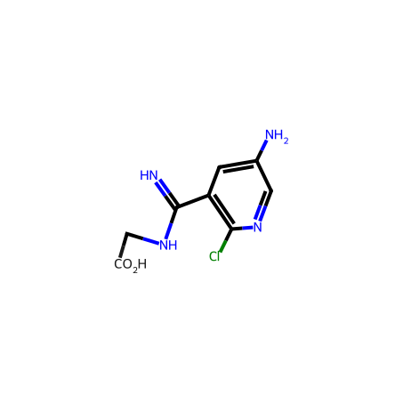 N=C(NCC(=O)O)c1cc(N)cnc1Cl